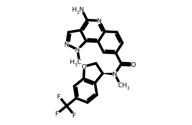 CN(C(=O)c1ccc2nc(N)c3cnn(C)c3c2c1)[C@@H]1COc2cc(C(F)(F)F)ccc21